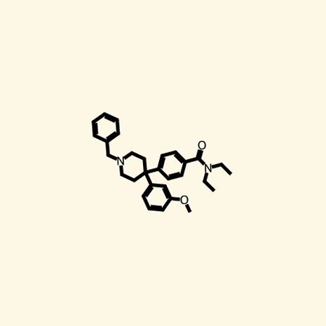 CCN(CC)C(=O)c1ccc(C2(c3cccc(OC)c3)CCN(Cc3ccccc3)CC2)cc1